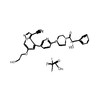 N#Cc1cnn2cc(OCCO)cc(-c3ccc(N4CCN(C(=O)[C@@H](O)c5ccccc5)CC4)nc3)c12.O=C(O)C(F)(F)F